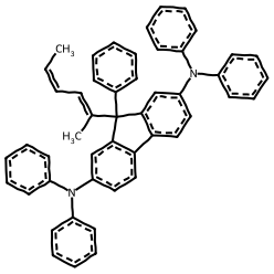 C/C=C\C=C(/C)C1(c2ccccc2)c2cc(N(c3ccccc3)c3ccccc3)ccc2-c2ccc(N(c3ccccc3)c3ccccc3)cc21